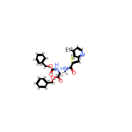 CCc1ccnc2cc(C(=O)NC[C@@H](NC(=O)OCc3ccccc3)C(=O)OCc3ccccc3)sc12